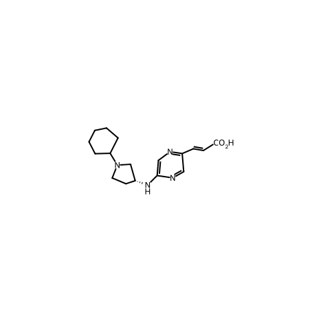 O=C(O)/C=C/c1cnc(N[C@@H]2CCN(C3CCCCC3)C2)cn1